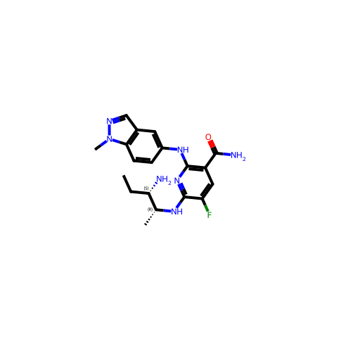 CC[C@H](N)[C@@H](C)Nc1nc(Nc2ccc3c(cnn3C)c2)c(C(N)=O)cc1F